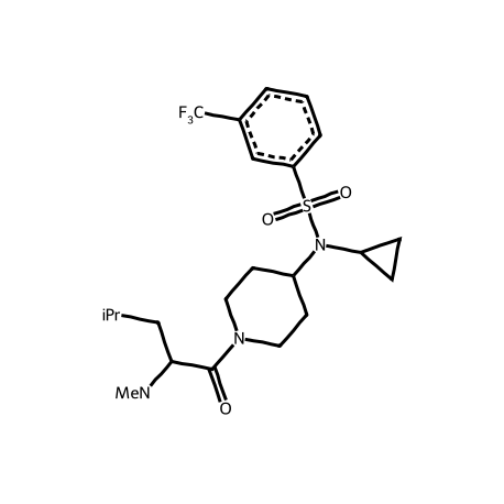 CNC(CC(C)C)C(=O)N1CCC(N(C2CC2)S(=O)(=O)c2cccc(C(F)(F)F)c2)CC1